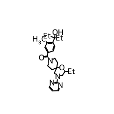 CCC1CN(c2ncccn2)CC2(CCN(C(=O)c3ccc(C(O)(CC)CC)c(C)c3)CC2)O1